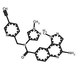 C#Cc1ccc(CN(C(=O)c2ccc3nc(N)c4cnn(C)c4c3c2)c2cnn(C)c2)nc1